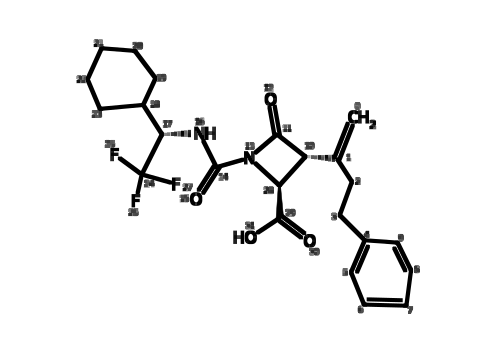 C=C(CCc1ccccc1)[C@H]1C(=O)N(C(=O)N[C@@H](C2CCCCC2)C(F)(F)F)[C@@H]1C(=O)O